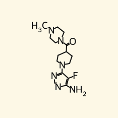 CN1CCN(C(=O)C2CCN(c3ncnc(N)c3F)CC2)CC1